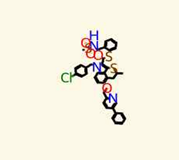 CC1Cc2c(OCc3ccc(-c4ccccc4)cn3)ccc3c2c(c(CSc2ccccc2C(=O)NS(C)(=O)=O)n3Cc2ccc(Cl)cc2)S1